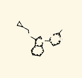 Clc1nccc(-n2cc(NCC3CC3)c3ccccc32)n1